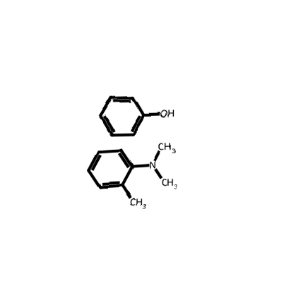 Cc1ccccc1N(C)C.Oc1ccccc1